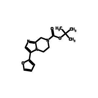 CC(C)(C)OC(=O)N1CCn2c(-c3ccco3)cnc2C1